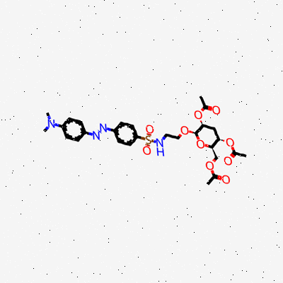 CC(=O)OC[C@H]1O[C@@H](OCCNS(=O)(=O)c2ccc(/N=N/c3ccc(N(C)C)cc3)cc2)[C@H](OC(C)=O)C[C@@H]1OC(C)=O